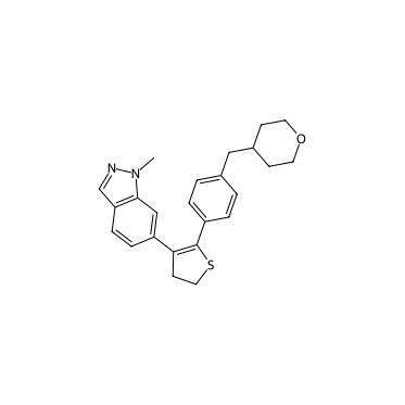 Cn1ncc2ccc(C3=C(c4ccc(CC5CCOCC5)cc4)SCC3)cc21